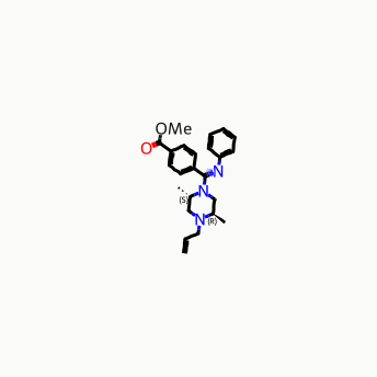 C=CCN1C[C@H](C)N(/C(=N/c2ccccc2)c2ccc(C(=O)OC)cc2)C[C@H]1C